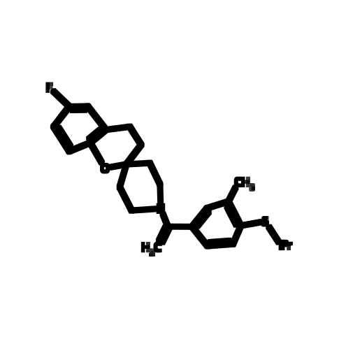 C=C(c1ccc(SC(C)C)c(C)c1)N1CCC2(CCc3cc(F)ccc3O2)CC1